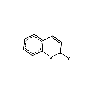 Cl[C]1C=Cc2ccccc2S1